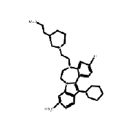 COCCC1CCCN(CCN2CCn3c(c(C4CCCCC4)c4ccc(C(=O)O)cc43)-c3ccc(Cl)cc32)C1